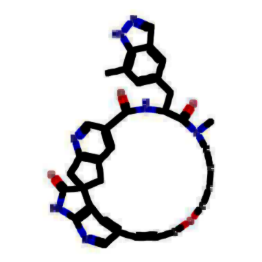 Cc1cc(CC2NC(=O)c3cnc4c(c3)CC3(C4)C(=O)Nc4ncc(cc43)C=CCOCCCCN(C)C2=O)cc2cn[nH]c12